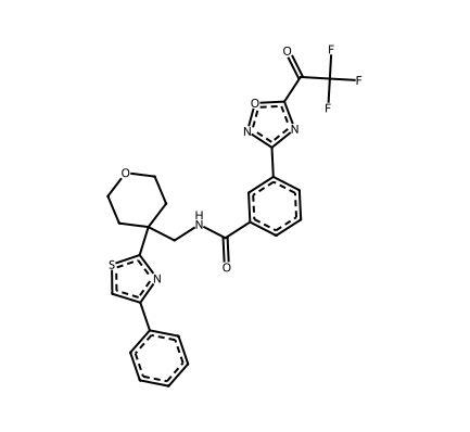 O=C(NCC1(c2nc(-c3ccccc3)cs2)CCOCC1)c1cccc(-c2noc(C(=O)C(F)(F)F)n2)c1